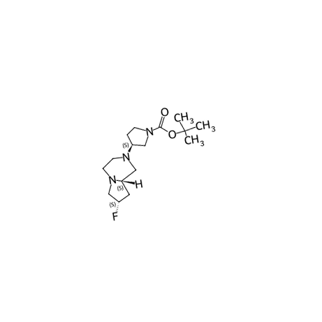 CC(C)(C)OC(=O)N1CC[C@H](N2CCN3C[C@@H](F)C[C@H]3C2)C1